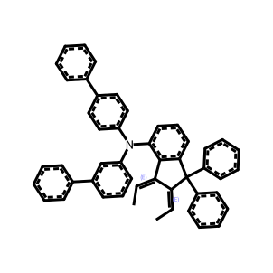 C/C=C1\C(=C/C)C(c2ccccc2)(c2ccccc2)c2cccc(N(c3ccc(-c4ccccc4)cc3)c3cccc(-c4ccccc4)c3)c21